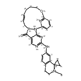 CN1CCc2ccc(Nc3ncc4c(=O)n5n(c4n3)-c3cccc(n3)OCCC/C=C\C5)cc2C12CC2